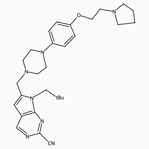 CC(C)(C)Cn1c(CN2CCN(c3ccc(OCCN4CCCC4)cc3)CC2)cc2cnc(C#N)nc21